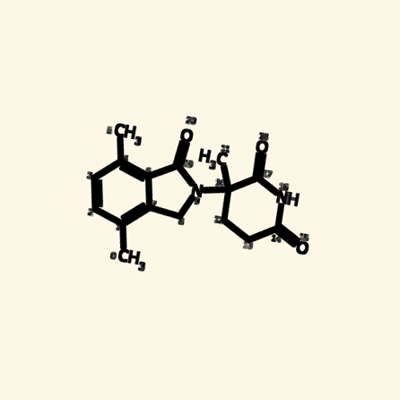 Cc1ccc(C)c2c1CN(C1(C)CCC(=O)NC1=O)C2=O